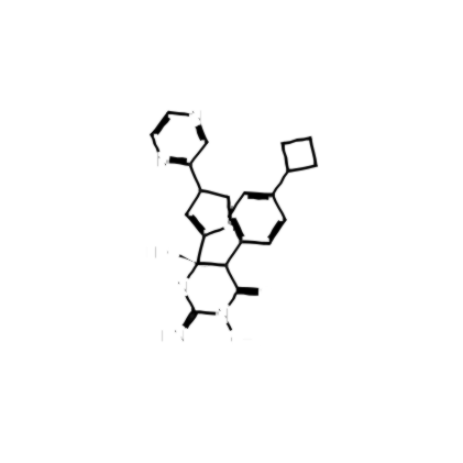 CN1C(=N)N[C@](C)(C2=CC(c3cnccn3)CS2)C(c2ccc(C3CCC3)cc2)C1=O